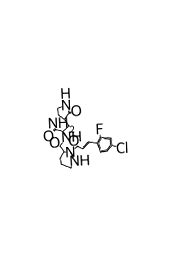 NC(=O)C(CC1CCNC1=O)NC(=O)C1CCCNN1C(=O)/C=C/c1ccc(Cl)cc1F